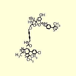 Cc1ncsc1-c1ccc(CNC(=O)[C@@H]2C[C@@H](O)CN2C(=O)[C@@H](NC(=O)COCC#CC#CCNC(=O)C[C@@H]2C=C(c3ccc(Cl)cc3)c3c(sc(C)c3C)-n3c(C)nnc32)C(C)(C)C)cc1